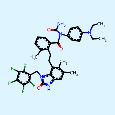 CCN(CC)c1ccc(N(C(N)=O)C(=O)c2cccc(C)c2CCc2c(C)c(C)cc3[nH]c(=O)n(Cc4c(F)c(F)c(F)c(F)c4F)c23)cc1